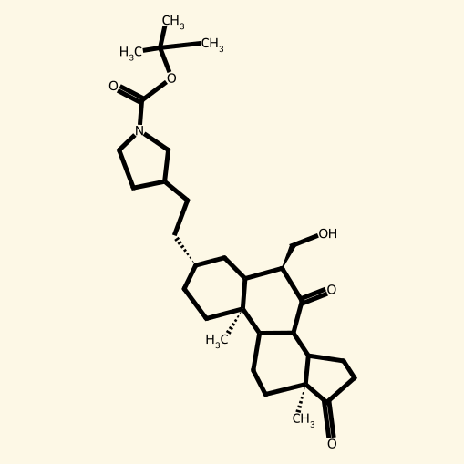 CC(C)(C)OC(=O)N1CCC(CC[C@H]2CC[C@]3(C)C4CC[C@]5(C)C(=O)CCC5C4C(=O)[C@H](CO)C3C2)C1